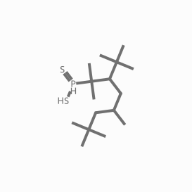 CC(CC(C(C)(C)C)C(C)(C)[PH](=S)S)CC(C)(C)C